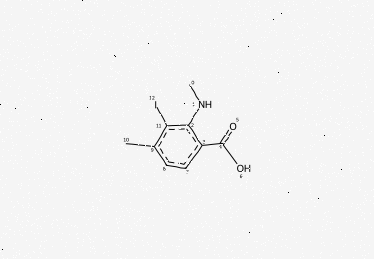 CNc1c(C(=O)O)ccc(C)c1I